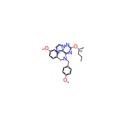 CCC[C@H](C)Oc1nc(N(Cc2ccc(OC)cc2)Cc2ccc(OC)cc2)c2nccn2n1